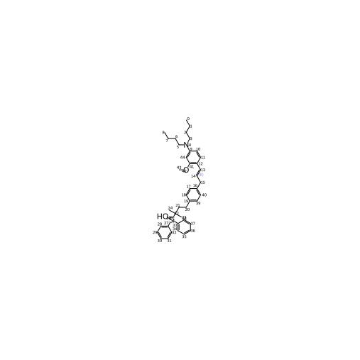 CCCCN(CCCC)c1ccc(/C=C/Cc2ccc(CCC(C)(C)[Si](O)(c3ccccc3)c3ccccc3)cc2)c(OC)c1